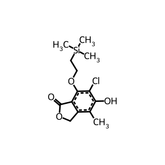 Cc1c(O)c(Cl)c(OCC[Si](C)(C)C)c2c1COC2=O